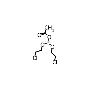 CC(=O)OP(OCCCl)OCCCl